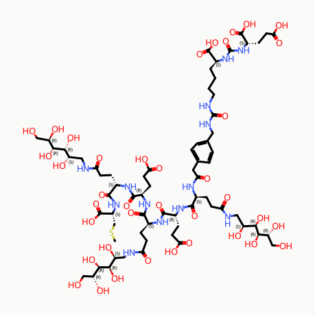 CSC[C@@H](NC(=O)[C@H](CCC(=O)NC[C@H](O)[C@@H](O)[C@H](O)[C@H](O)CO)NC(=O)[C@@H](CCC(=O)O)NC(=O)[C@H](CCC(=O)NC[C@H](O)[C@@H](O)[C@H](O)[C@H](O)CO)NC(=O)[C@@H](CCC(=O)O)NC(=O)[C@H](CCC(=O)NC[C@H](O)[C@@H](O)[C@H](O)[C@H](O)CO)NC(=O)Cc1ccc(CNC(=O)NCCCC[C@H](NC(=O)N[C@@H](CCC(=O)O)C(=O)O)C(=O)O)cc1)C(=O)O